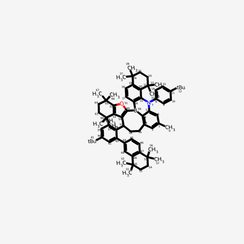 Cc1cc2c3c(c1)N(c1ccc(C(C)(C)C)cc1)c1c(ccc4c1C(C)(C)CCC4(C)C)B3c1oc3c(c1C(c1c(C)cc(C(C)(C)C)cc1-c1ccc4c(c1)C(C)(C)CCC4(C)C)CC2)C(C)(C)CCC3(C)C